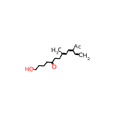 C=C/C(=C\C=C(/C)CCC(=O)CCCCO)C(C)=O